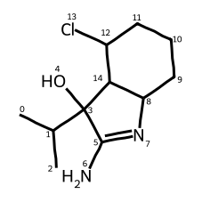 CC(C)C1(O)C(N)=NC2CCCC(Cl)C21